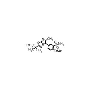 CCOC(=O)C(C)(C)c1nn2c(-c3ccc(OC)c(S(N)(=O)=O)c3)c(C)nc2s1